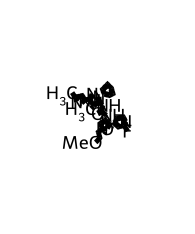 COCCN1C[C@@H](NC(=O)Nc2c(C)c(-n3cnc(C)c3)nn2-c2ccccc2)[C@H](c2ccnc(F)c2)O1